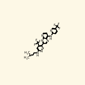 CN(C)CCNc1cc(C(F)(F)F)c(-c2cnc3c(Nc4ccc(C(F)(F)F)cn4)ccnc3n2)nn1